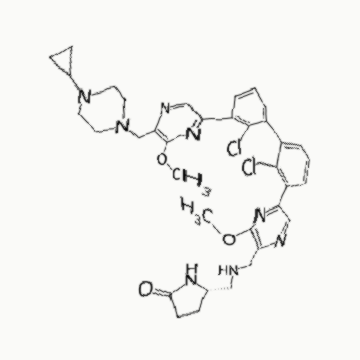 COc1nc(-c2cccc(-c3cccc(-c4cnc(CN5CCN(C6CC6)CC5)c(OC)n4)c3Cl)c2Cl)cnc1CNC[C@@H]1CCC(=O)N1